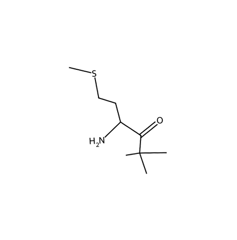 CSCCC(N)C(=O)C(C)(C)C